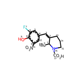 CC(C)(C)C1/C(=C\c2cc(F)c(O)c([N+](=O)[O-])c2)CCCN1C(=O)O